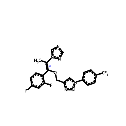 C/C(=C(/OCc1cn(-c2ccc(C(F)(F)F)cc2)nn1)c1ccc(F)cc1F)n1cncn1